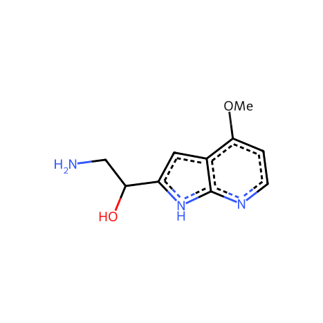 COc1ccnc2[nH]c(C(O)CN)cc12